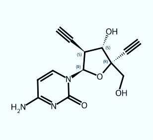 C#C[C@@H]1[C@H](n2ccc(N)nc2=O)O[C@](C#C)(CO)[C@H]1O